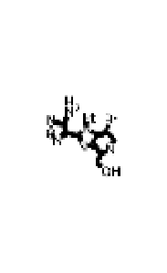 CCn1c(-c2nonc2N)nc2c(CO)ncc(Br)c21